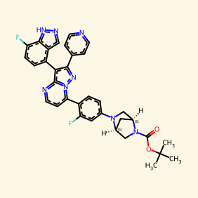 CC(C)(C)OC(=O)N1C[C@@H]2C[C@H]1CN2c1ccc(-c2ccnc3c(-c4ccc(F)c5[nH]ncc45)c(-c4ccncc4)nn23)c(F)c1